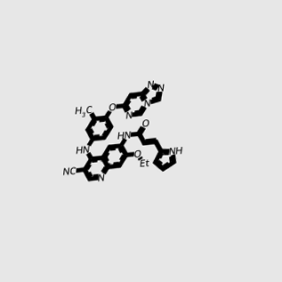 CCOc1cc2ncc(C#N)c(Nc3ccc(Oc4cc5nncn5cn4)c(C)c3)c2cc1NC(=O)/C=C/c1ccc[nH]1